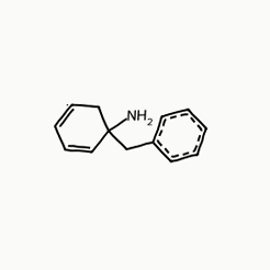 NC1(Cc2ccccc2)C=CC=[C]C1